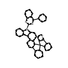 c1ccc(-c2nc(-n3c4ccccc4c4c5ccc6c(c5ccc43)C3(c4ccccc4-c4ccccc43)c3ccccc3-6)nc3ccccc23)cc1